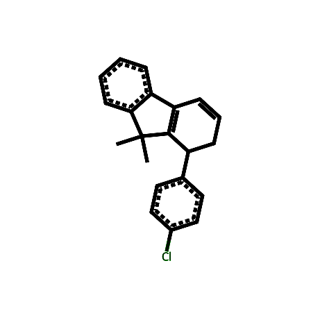 CC1(C)C2=C(C=CCC2c2ccc(Cl)cc2)c2ccccc21